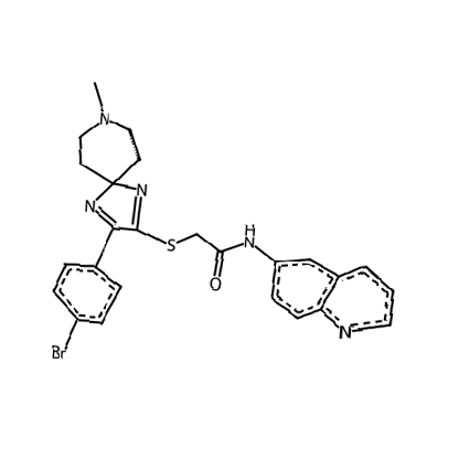 CN1CCC2(CC1)N=C(SCC(=O)Nc1ccc3ncccc3c1)C(c1ccc(Br)cc1)=N2